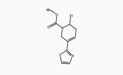 CCC1CC=C(c2nccs2)CN1C(=O)OC(C)(C)C